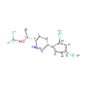 CC(OC(F)F)[C@@H]1CCC(c2ccc(F)cc2F)=CN1